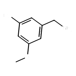 COc1cc(O)cc(CN)c1